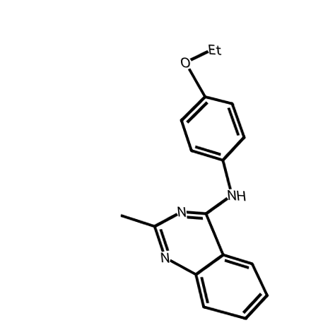 CCOc1ccc(Nc2nc(C)nc3ccccc23)cc1